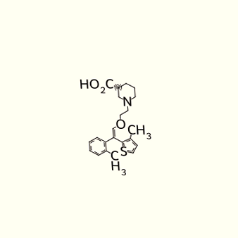 Cc1ccccc1C(=COCCN1CCC[C@@H](C(=O)O)C1)c1sccc1C